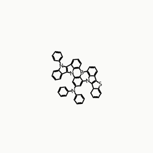 C1=CCC2C(=C1)Sc1c2n2c3c(cccc13)B1c3c-2cc(N(c2ccccc2)c2ccccc2)cc3-n2c3c1cccc3c1c2c2ccccc2n1-c1ccccc1